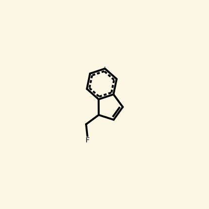 FCC1C=Cc2c[c]ccc21